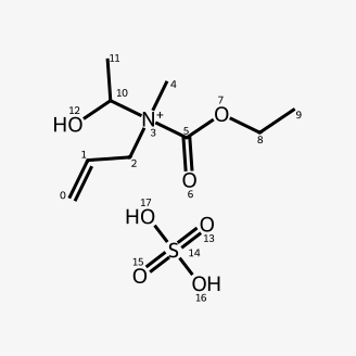 C=CC[N+](C)(C(=O)OCC)C(C)O.O=S(=O)(O)O